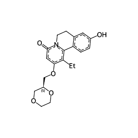 CCc1c(OC[C@@H]2COCCO2)cc(=O)n2c1-c1ccc(O)cc1CC2